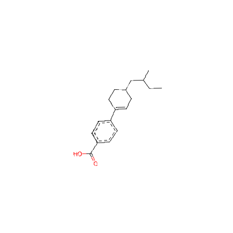 CCC(C)CC1CC=C(c2ccc(C(=O)O)cc2)CC1